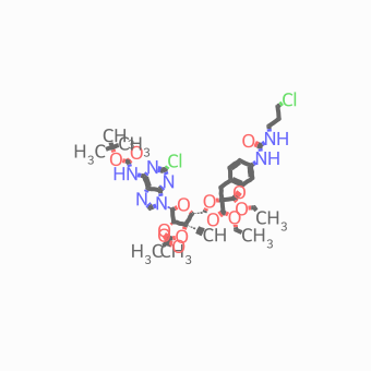 C#C[C@@]1(OC(C)=O)[C@@H](COC(Cc2ccc(NC(=O)NCCCCl)cc2)(C(=O)OCC)C(=O)OCC)O[C@@H](n2cnc3c(NC(=O)OC(C)(C)C)nc(Cl)nc32)[C@@H]1OC(C)=O